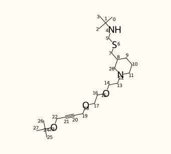 CC(C)(C)NCSCC1CCCN(CCOCCOCC#CCOC(C)(C)C)C1